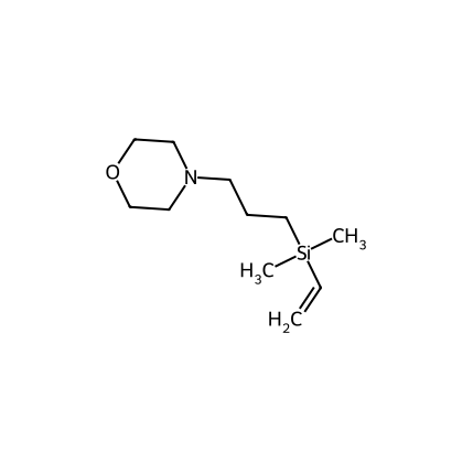 C=C[Si](C)(C)CCCN1CCOCC1